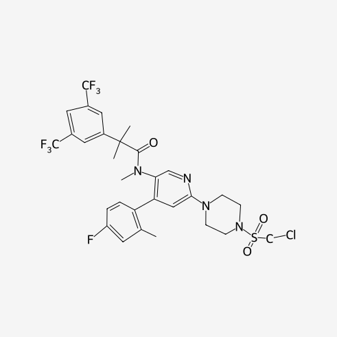 Cc1cc(F)ccc1-c1cc(N2CCN(S(=O)(=O)CCl)CC2)ncc1N(C)C(=O)C(C)(C)c1cc(C(F)(F)F)cc(C(F)(F)F)c1